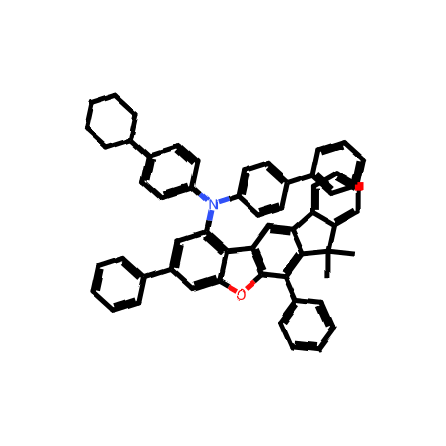 CC1(C)c2ccccc2-c2cc3c(oc4cc(-c5ccccc5)cc(N(c5ccc(-c6ccccc6)cc5)c5ccc(C6CCCCC6)cc5)c43)c(-c3ccccc3)c21